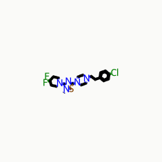 CN1SC(N2CCN(CCc3ccc(Cl)cc3)CC2)=NC1N1CCC(F)(F)CC1